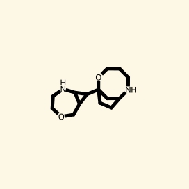 C1CNC2CCC(C3C4COCCNC43)(C2)OC1